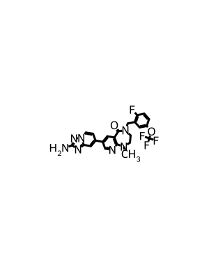 CN1CCN(Cc2cc(OC(F)(F)F)ccc2F)C(=O)c2cc(-c3ccn4nc(N)nc4c3)cnc21